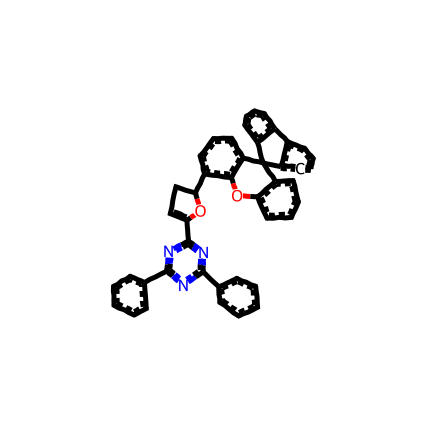 C1=C(c2nc(-c3ccccc3)nc(-c3ccccc3)n2)OC(c2cccc3c2Oc2ccccc2C32c3ccccc3-c3ccccc32)C1